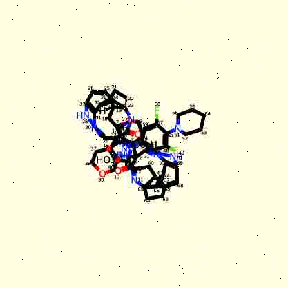 O=C(O)NC1(C2CCOCC2)C(=O)N2C([C@H]3CC[C@@H](C4C[C@@H]5CCC[C@@]56c5ccc7[nH]c(nc7c5)[C@@](NC(=O)O)(C5CCOCC5)C(=O)N46)N3c3cc(F)c(N4CCCCC4)c(F)c3)CC3CCCC32c2ccc3[nH]c1nc3c2